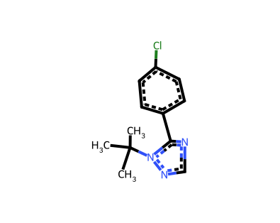 CC(C)(C)n1ncnc1-c1ccc(Cl)cc1